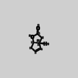 O=C1C[C@@H]2C=CCC2O1